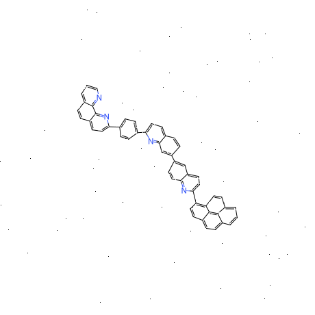 c1cnc2c(c1)ccc1ccc(-c3ccc(-c4ccc5ccc(-c6ccc7nc(-c8ccc9ccc%10cccc%11ccc8c9c%10%11)ccc7c6)cc5n4)cc3)nc12